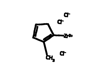 CC1=[C]([Zr+3])CC=C1.[Cl-].[Cl-].[Cl-]